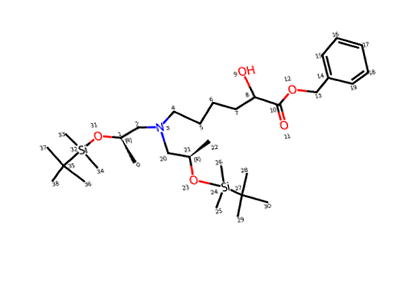 C[C@H](CN(CCCCC(O)C(=O)OCc1ccccc1)C[C@@H](C)O[Si](C)(C)C(C)(C)C)O[Si](C)(C)C(C)(C)C